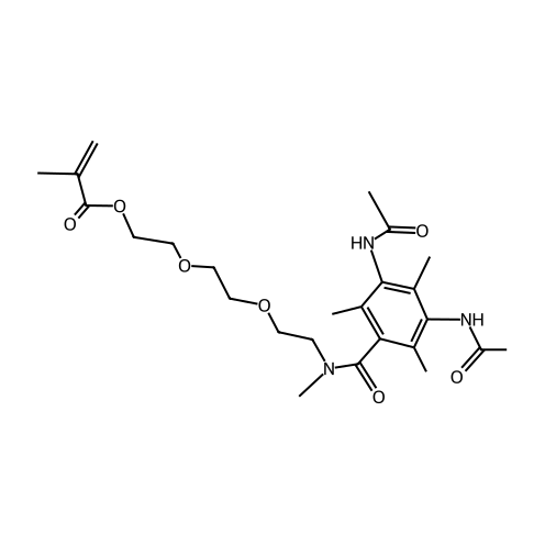 C=C(C)C(=O)OCCOCCOCCN(C)C(=O)c1c(C)c(NC(C)=O)c(C)c(NC(C)=O)c1C